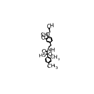 C#CCOc1ccc(CCNC(=O)C(S)(OC)c2ccc(C)cc2)cc1OC